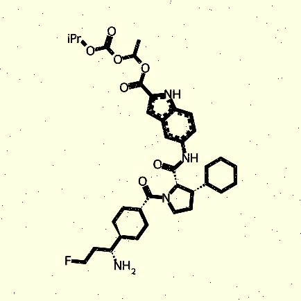 CC(C)OC(=O)OC(C)OC(=O)c1cc2cc(NC(=O)[C@@H]3[C@H](C4CCCCC4)CCN3C(=O)[C@H]3CC[C@H]([C@H](N)CCF)CC3)ccc2[nH]1